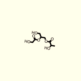 CC(O)C(=O)OCC(CO)OC(=O)CO